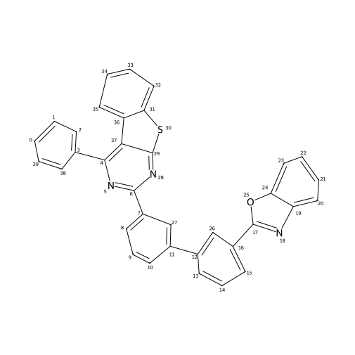 c1ccc(-c2nc(-c3cccc(-c4cccc(-c5nc6ccccc6o5)c4)c3)nc3sc4ccccc4c23)cc1